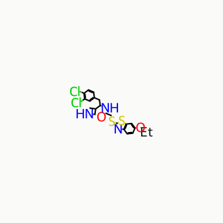 CCOc1ccc2nc(SCC(=O)NC(Cc3ccc(Cl)c(Cl)c3)C3CNC3)sc2c1